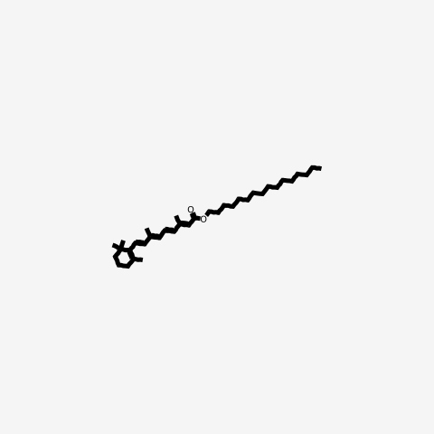 CCCCCCCCCCCCCCCCOC(=O)/C=C(C)/C=C/C=C(C)/C=C/C1=C(C)CCCC1(C)C